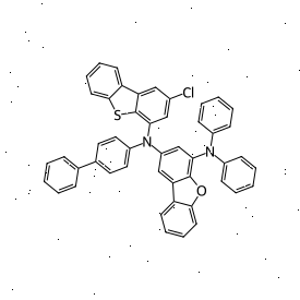 Clc1cc(N(c2ccc(-c3ccccc3)cc2)c2cc(N(c3ccccc3)c3ccccc3)c3oc4ccccc4c3c2)c2sc3ccccc3c2c1